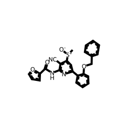 C[S+]([O-])c1cc(-c2ccccc2OCc2ccccc2)nc(NC(=O)c2ccco2)c1C#N